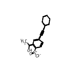 CC(O)c1cc(C#CC2CCCCC2)ccc1[N+](=O)[O-]